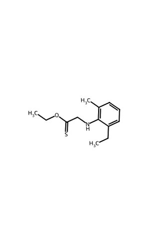 CCOC(=S)CNc1c(C)cccc1CC